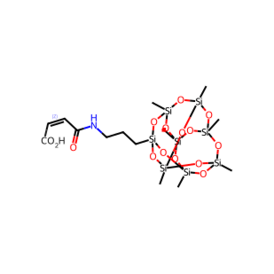 C[Si]12O[Si]3(C)O[Si]4(C)O[Si](C)(O1)O[Si]1(C)O[Si](C)(O2)O[Si](C)(O3)O[Si](CCCNC(=O)/C=C\C(=O)O)(O4)O1